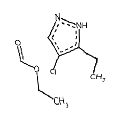 CCOC=O.CCc1[nH]ncc1Cl